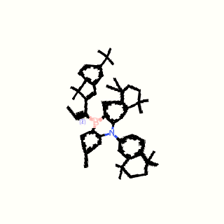 C/C=C(/B1c2ccc(C)cc2N(c2ccc3c(c2)C(C)(C)CCC3(C)C)c2cc3c(cc21)C(C)(C)CCC3(C)C)C1=Cc2cc(C(C)(C)C)ccc2C1(C)C